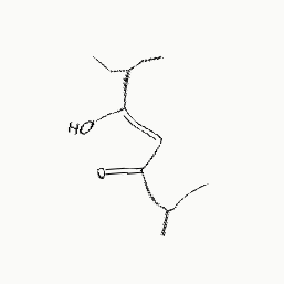 CC(C)C(=O)C=C(O)C(C)C